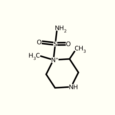 CC1CNCC[N+]1(C)S(N)(=O)=O